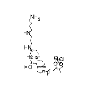 CC(C)[C@@H](CC[C@@H](C)[C@H]1CCC2C3C(CC[C@@]21C)[C@@]1(C)CC[C@H](NCCCNCCCCN)C[C@@H]1C[C@H]3O)OS(=O)(=O)O